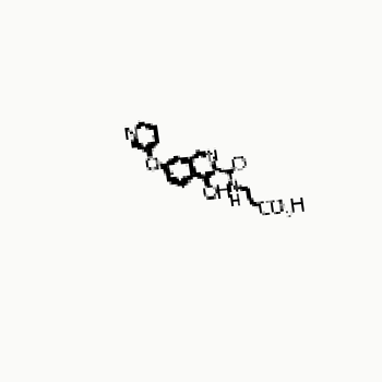 O=C(O)CCNC(=O)c1ncc2cc(Oc3cccnc3)ccc2c1O